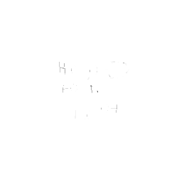 CC(O)C(=O)N(Cc1ccccc1)CC(O)C(F)(F)F